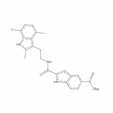 COC(=O)c1ccc2[nH]c(C(=O)NCCc3c(C)[nH]c4c(F)ccc(C)c34)cc2c1